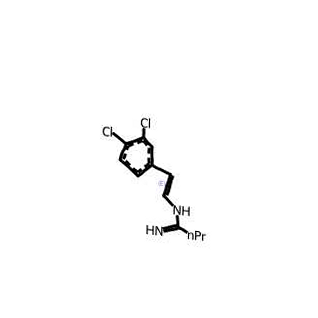 CCCC(=N)N/C=C/c1ccc(Cl)c(Cl)c1